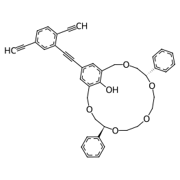 C#Cc1ccc(C#C)c(C#Cc2cc3c(O)c(c2)COC[C@H](c2ccccc2)OCCOCCO[C@@H](c2ccccc2)COC3)c1